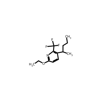 CCCC(C)c1ccc(OCC)nc1C(F)(F)F